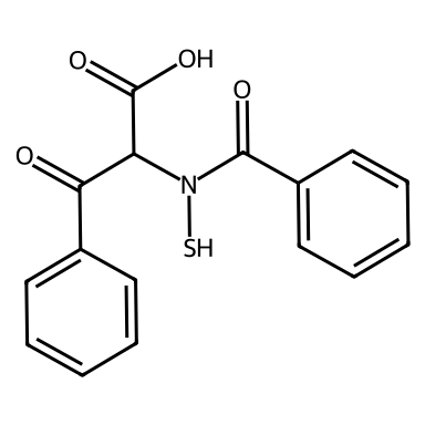 O=C(O)C(C(=O)c1ccccc1)N(S)C(=O)c1ccccc1